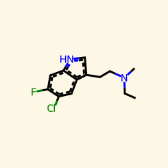 CCN(C)CCc1c[nH]c2cc(F)c(Cl)cc12